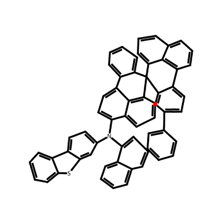 c1ccc(-c2ccc3c(c2)C2(c4ccccc4-c4ccc(N(c5ccc6c(c5)sc5ccccc56)c5cccc6ccccc56)c5cccc2c45)c2cccc4cccc-3c24)cc1